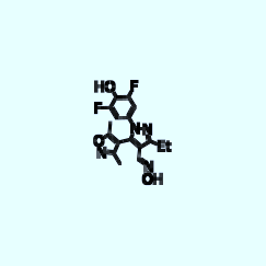 CCc1nn(-c2cc(F)c(O)c(F)c2)c(-c2c(C)noc2C)c1C=NO